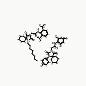 CCCCCCCCN1C(=O)N(CC(=O)Nc2c(C(C)C)cccc2C(C)C)C(=O)C12CCCCC2.Cc1ccc(N2C(=O)N(CC(=O)Nc3c(C)cc(C)cc3C)C(=O)C23CCCCC3)cc1